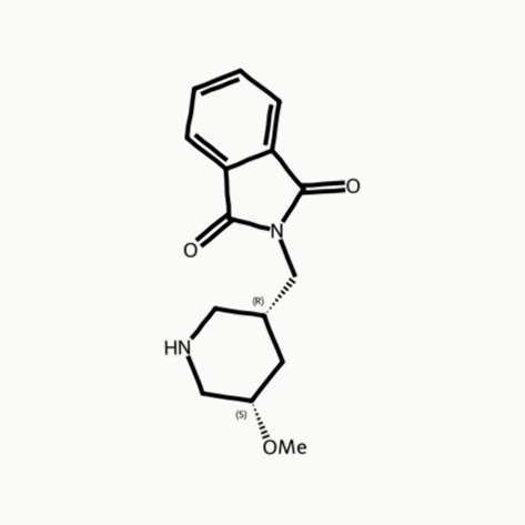 CO[C@@H]1CNC[C@H](CN2C(=O)c3ccccc3C2=O)C1